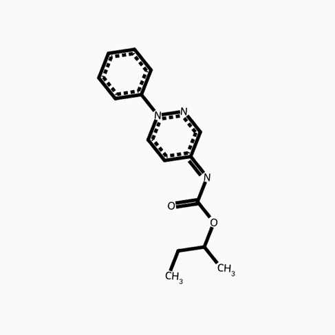 CCC(C)OC(=O)/N=c1\ccn(-c2ccccc2)nc1